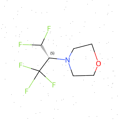 FC(F)[C@H](N1CCOCC1)C(F)(F)F